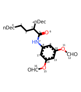 CCCCCCCCCCCCC(CCCCCCCCCC)C(=O)Nc1cc(OC=O)cc(OC=O)c1